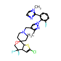 Cc1nn(-c2c(F)cccc2-c2nccn2C)cc1CN1CCC2(CC1)OCC(F)(F)C1C=C(Cl)SC12